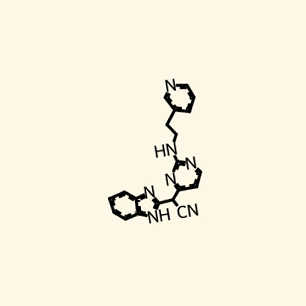 N#CC(c1ccnc(NCCc2cccnc2)n1)c1nc2ccccc2[nH]1